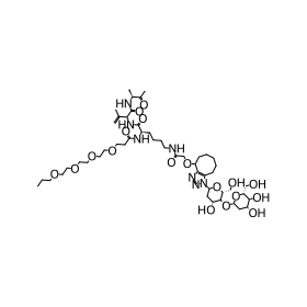 C=C(C)[C@H](NC(=O)[C@@H](CCCCNC(=O)COC1CCCCCc2c1nnn2[C@@H]1C[C@@H](O)[C@H](O[C@@H]2C[C@@H](O)[C@H](O)[C@@H](CO)O2)[C@@H](CO)O1)NC(=O)CCOCCOCCOCCOCCC)C(=O)N[C@@H](C)C(C)=O